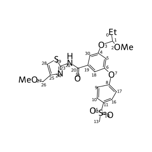 CCC(OC)Oc1cc(Oc2ccc(S(C)(=O)=O)cc2)cc(C(=O)Nc2nc(COC)cs2)c1